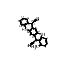 C=C1CC=CC2=C1C(C#N)c1cc3c(cc1N2)C(C#N)c1ccccc1N3